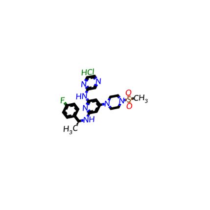 C[C@H](Nc1cc(N2CCN(S(C)(=O)=O)CC2)cc(Nc2cnccn2)n1)c1ccc(F)cc1.Cl